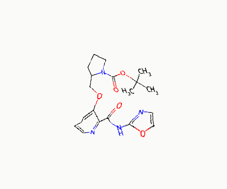 CC(C)(C)OC(=O)N1CCCC1COc1cccnc1C(=O)Nc1ncco1